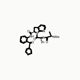 CN[C@@H](C)C(=O)N[C@H](C(=O)N1c2ncccc2C[C@@H]1C(=O)Nc1ccccc1C(=O)c1ccccc1)C(C)C